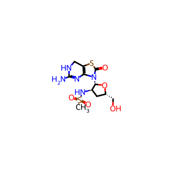 CS(=O)(=O)N[C@@H]1C[C@@H](CO)O[C@H]1n1c2c(sc1=O)CNC(N)=N2